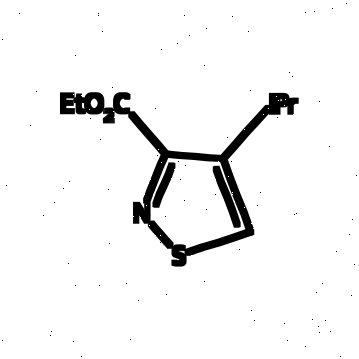 CCOC(=O)c1nscc1C(C)C